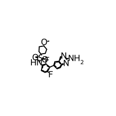 CO[C@H]1CC[C@@H](S(=O)(=O)Nc2ccc(F)c(-c3ccc4nc(N)ncc4c3)c2F)CC1